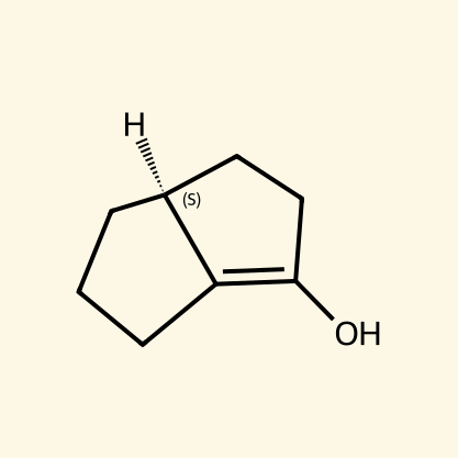 OC1=C2CCC[C@H]2CC1